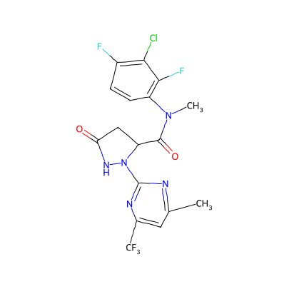 Cc1cc(C(F)(F)F)nc(N2NC(=O)CC2C(=O)N(C)c2ccc(F)c(Cl)c2F)n1